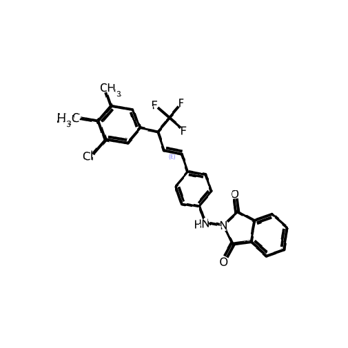 Cc1cc(C(/C=C/c2ccc(NN3C(=O)c4ccccc4C3=O)cc2)C(F)(F)F)cc(Cl)c1C